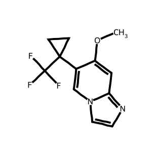 COc1cc2nccn2cc1C1(C(F)(F)F)CC1